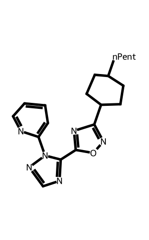 CCCCCC1CCC(c2noc(-c3ncnn3-c3ccccn3)n2)CC1